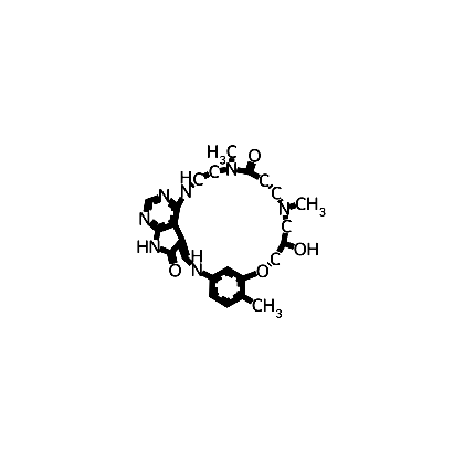 Cc1ccc2cc1OCC(O)CN(C)CCC(=O)N(C)CCNc1ncnc3c1/C(=C/N2)C(=O)N3